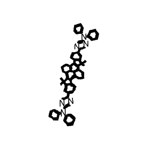 CC1(C)c2cc(-c3cnc(N(c4ccccc4)c4ccccc4)cn3)ccc2-c2c1c1c3c(c4c(c5c3c2CCC5)C(C)(C)c2cc(-c3cnc(N(c5ccccc5)c5ccccc5)cn3)ccc2-4)CCC1